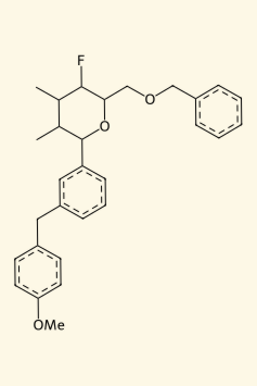 COc1ccc(Cc2cccc(C3OC(COCc4ccccc4)C(F)C(C)C3C)c2)cc1